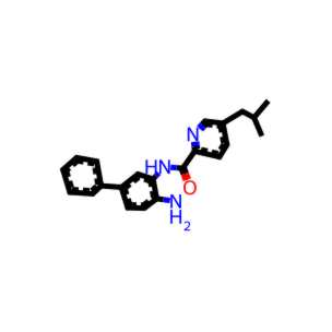 CC(C)Cc1ccc(C(=O)Nc2cc(-c3ccccc3)ccc2N)nc1